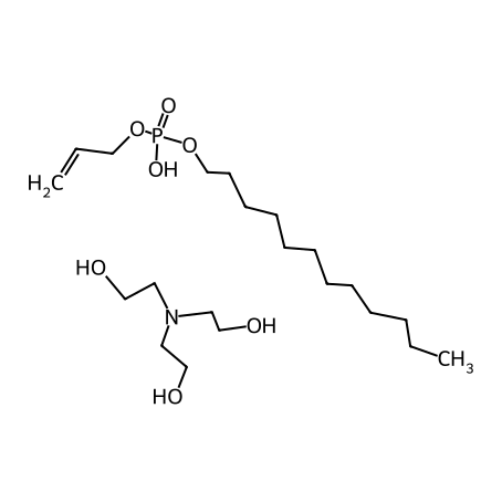 C=CCOP(=O)(O)OCCCCCCCCCCCC.OCCN(CCO)CCO